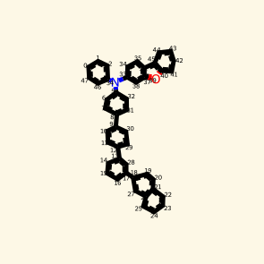 c1ccc(N(c2ccc(-c3ccc(-c4cccc(-c5ccc6ccccc6c5)c4)cc3)cc2)c2ccc3c(c2)oc2ccccc23)cc1